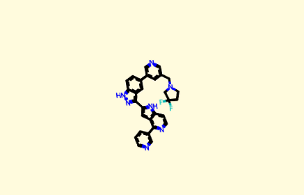 FC1(F)CCN(Cc2cncc(-c3ccc4[nH]nc(-c5cc6c(-c7cccnc7)nccc6[nH]5)c4c3)c2)C1